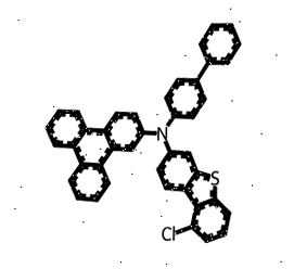 Clc1cccc2sc3cc(N(c4ccc(-c5ccccc5)cc4)c4ccc5c6ccccc6c6ccccc6c5c4)ccc3c12